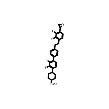 COC1CCC(c2ccc(-c3ccc(CCc4ccc(C5CO5)c(F)c4F)cc3)c(F)c2F)CC1